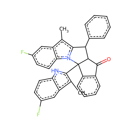 Cc1c(C23c4ccccc4C(=O)C2C(c2ccccc2)c2c(C)c4cc(F)ccc4n23)[nH]c2ccc(F)cc12